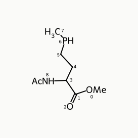 COC(=O)C(CCPC)NC(C)=O